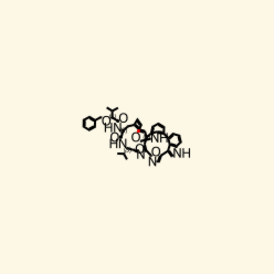 CC(C)[C@H](OCc1ccccc1)C(=O)N[C@H]1Cc2ccc3c(c2)[C@]24c5cccc(c5NC2O3)-c2cccc3[nH]cc(c23)-c2cnc(o2)-c2nc(oc24)[C@H](C(C)C)NC1=O